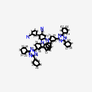 N#Cc1cccc(-c2cc(-n3c4ccccc4c4cc(-c5nc(-c6ccccc6)nc(-c6ccccc6)n5)ccc43)c(-n3c4ccccc4c4cc(-c5nc(-c6ccccc6)nc(-c6ccccc6)n5)ccc43)cc2C#N)c1